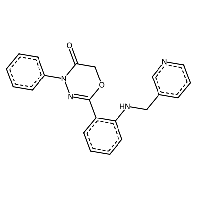 O=C1COC(c2ccccc2NCc2cccnc2)=NN1c1ccccc1